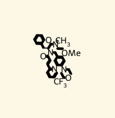 COCCN(C)C(=O)[C@H](Cc1ccccc1)N(Cc1ccc(N2CCOCC2)cc1)C(=O)C=Cc1ccc(C(F)(F)F)cn1